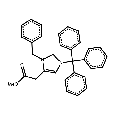 COC(=O)CC1=CN(C(c2ccccc2)(c2ccccc2)c2ccccc2)CN1Cc1ccccc1